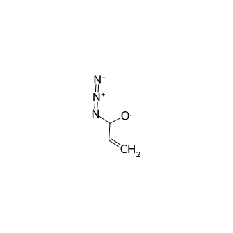 C=CC([O])N=[N+]=[N-]